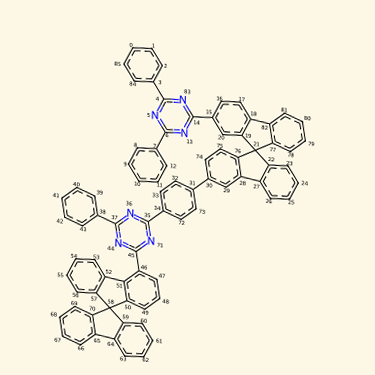 c1ccc(-c2nc(-c3ccccc3)nc(-c3ccc4c(c3)C3(c5ccccc5-c5cc(-c6ccc(-c7nc(-c8ccccc8)nc(-c8cccc9c8-c8ccccc8C98c9ccccc9-c9ccccc98)n7)cc6)ccc53)c3ccccc3-4)n2)cc1